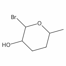 CC1CCC(O)C(Br)O1